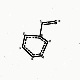 S=Cc1c[c]ccc1